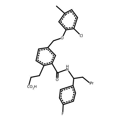 Cc1ccc(Cl)c(OCc2ccc(CCC(=O)O)c(C(=O)NC(CC(C)C)c3ccc(F)cc3)c2)c1